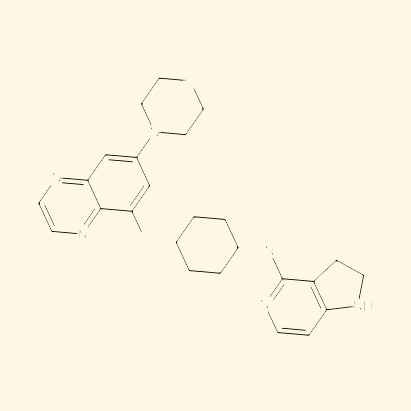 c1cc2c(c(N[C@H]3CC[C@@H](Oc4cc(N5CCOCC5)cc5nccnc45)CC3)n1)CCN2